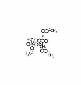 COc1ccc(C(OCC(CO)Cc2ccc3c(C#Cc4cccc5cc(OC)ccc45)c4ccccc4c(C#Cc4cccc5cc(OC)ccc45)c3c2)(c2ccccc2)c2ccc(OC)cc2)cc1